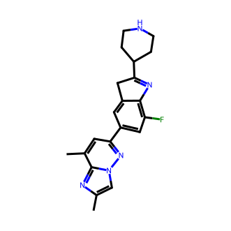 Cc1cn2nc(-c3cc(F)c4c(c3)CC(C3CCNCC3)=N4)cc(C)c2n1